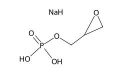 O=P(O)(O)OCC1CO1.[NaH]